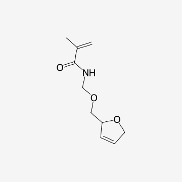 C=C(C)C(=O)NCOCC1C=CCO1